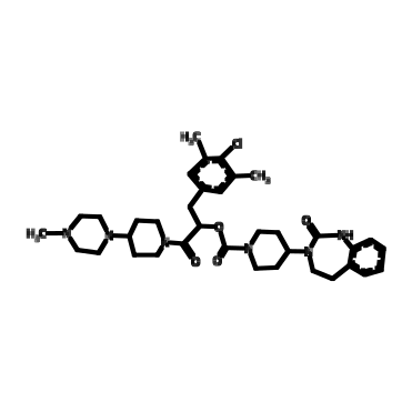 Cc1cc(CC(OC(=O)N2CCC(N3CCc4ccccc4NC3=O)CC2)C(=O)N2CCC(N3CCN(C)CC3)CC2)cc(C)c1Cl